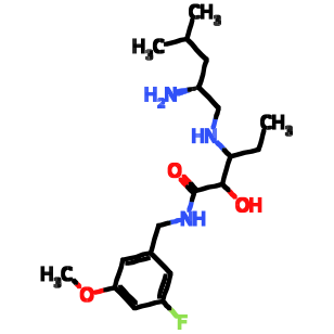 CCC(NC[C@@H](N)CC(C)C)C(O)C(=O)NCc1cc(F)cc(OC)c1